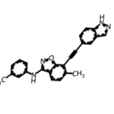 Cc1ccc2c(Nc3cccc(C(F)(F)F)c3)noc2c1C#Cc1ccc2[nH]ncc2c1